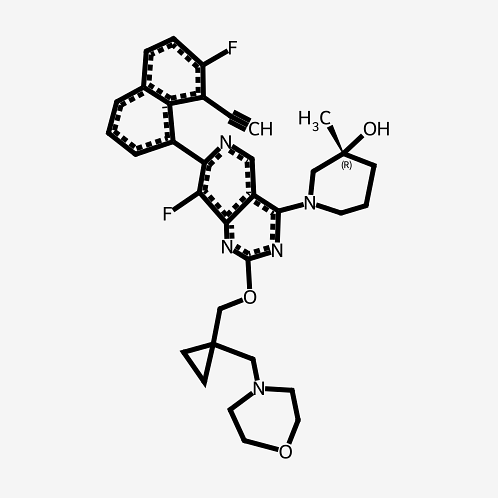 C#Cc1c(F)ccc2cccc(-c3ncc4c(N5CCC[C@@](C)(O)C5)nc(OCC5(CN6CCOCC6)CC5)nc4c3F)c12